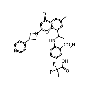 Cc1cc(C(C)Nc2ccccc2C(=O)O)c2oc(N3CC(c4ccncc4)C3)cc(=O)c2c1.O=C(O)C(F)(F)F